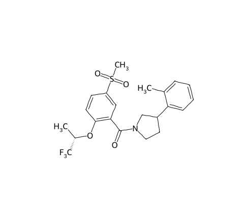 Cc1ccccc1C1CCN(C(=O)c2cc(S(C)(=O)=O)ccc2O[C@@H](C)C(F)(F)F)C1